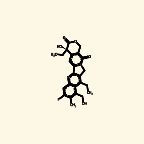 CCc1c2c(nc3cc(F)c(C)c(CO)c13)-c1cc3c(c(=O)n1C2)COC(=O)[C@]3(O)CC